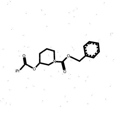 CC(C)C(=O)OC1CCCN(C(=O)OCc2ccccc2)C1